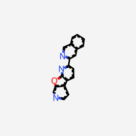 c1ccc2cc(-c3ccc4c(n3)oc3cnccc34)ncc2c1